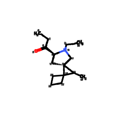 CCC(=O)[C@@H]1C[C@]2(CN1CC)C(C)C21CCC1